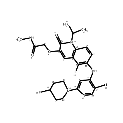 CNC(=O)COc1cc2c(F)c(Nc3cc(N4CCC(F)CC4)ncc3Cl)ccc2n(C(C)C)c1=O